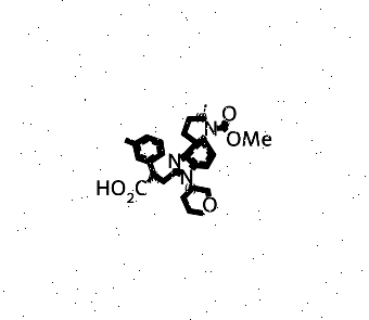 COC(=O)N1c2ccc3c(nc(C[C@@H](C(=O)O)c4cccc(C)c4)n3[C@H]3CCCOC3)c2CC[C@@H]1C